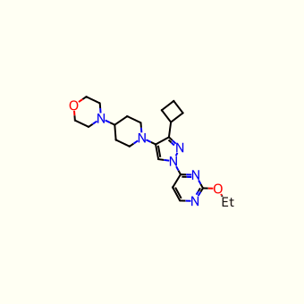 CCOc1nccc(-n2cc(N3CCC(N4CCOCC4)CC3)c(C3CCC3)n2)n1